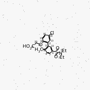 CCN(CC)S(=O)(=O)c1ccc(C)c(-c2cc(Cl)ccc2OCC(=O)O)c1